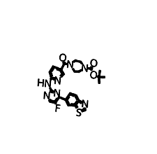 CC(C)(C)OC(=O)N1CCN(C(=O)c2ccc(Nc3ncc(F)c(-c4ccc5ncsc5c4)n3)nc2)CC1